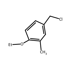 [CH2]COc1ccc(CCl)cc1C